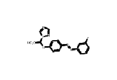 O=C(O)C(Oc1ccc(N=Nc2cccc(F)c2)cc1)n1cncn1